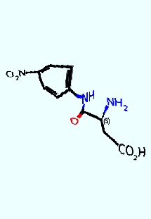 N[C@@H](CC(=O)O)C(=O)Nc1ccc([N+](=O)[O-])cc1